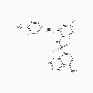 COc1ccc(S(=O)(=O)Nc2ccc(F)cc2C#Cc2ccc(C(=O)O)nc2)c2ccccc12